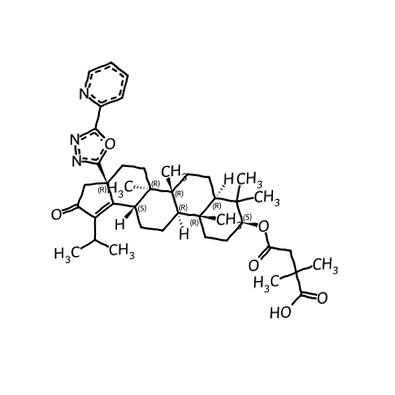 CC(C)C1=C2[C@H]3CC[C@@H]4[C@@]5(C)CC[C@H](OC(=O)CC(C)(C)C(=O)O)C(C)(C)[C@@H]5CC[C@@]4(C)[C@]3(C)CC[C@@]2(c2nnc(-c3ccccn3)o2)CC1=O